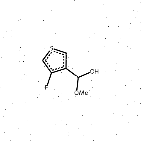 COC(O)c1cscc1F